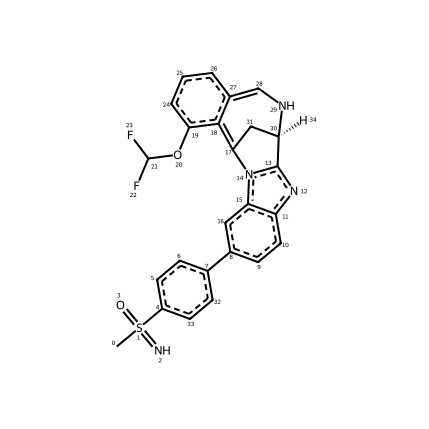 CS(=N)(=O)c1ccc(-c2ccc3nc4n(c3c2)C2=c3c(OC(F)F)cccc3=CN[C@@H]4C2)cc1